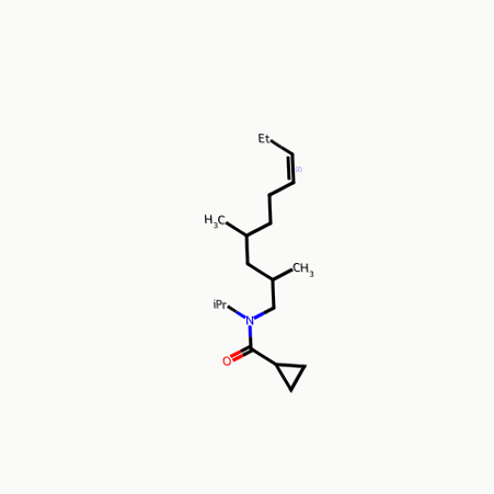 CC/C=C\CCC(C)CC(C)CN(C(=O)C1CC1)C(C)C